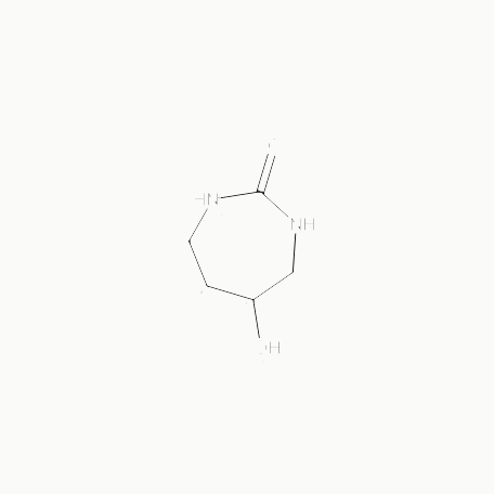 O=C1NCCC(O)CN1